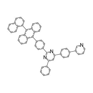 c1ccc(-c2cc(-c3ccc(-c4cccnc4)cc3)nc(-c3ccc(-c4c5ccccc5c(-c5cccc6ccccc56)c5ccccc45)cc3)n2)cc1